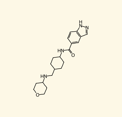 O=C(NC1CCC(CNC2CCOCC2)CC1)c1ccc2[nH]ncc2c1